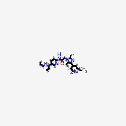 C=C/C(=N\C=C/C)c1ccc(NC(=O)Cn2c(C)nc(-c3ccnc(C(F)(F)F)c3)c2C)nc1